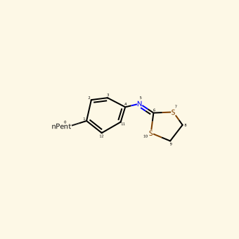 CCCCCc1ccc(N=C2SCCS2)cc1